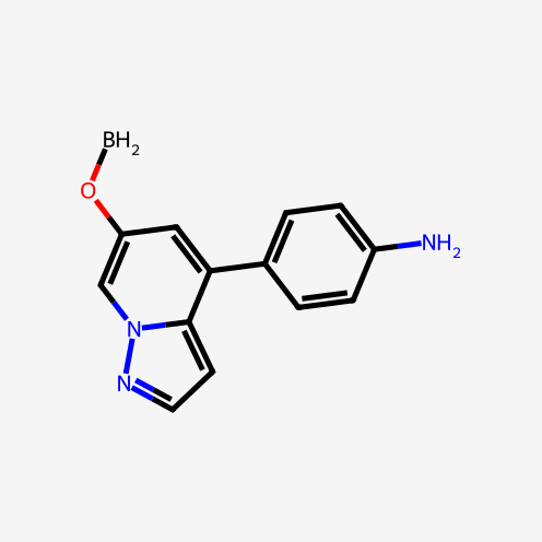 BOc1cc(-c2ccc(N)cc2)c2ccnn2c1